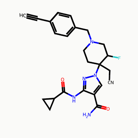 C#Cc1ccc(CN2CCC(CC#N)(n3cc(C(N)=O)c(NC(=O)C4CC4)n3)C(F)C2)cc1